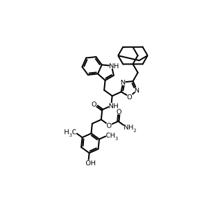 Cc1cc(O)cc(C)c1CC(OC(N)=O)C(=O)NC(Cc1c[nH]c2ccccc12)c1nc(CC23CC4CC(CC(C4)C2)C3)no1